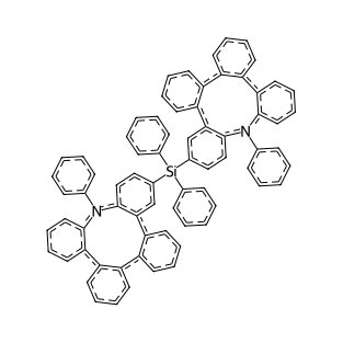 c1ccc(-n2c3ccccc3c3ccccc3c3ccccc3c3cc([Si](c4ccccc4)(c4ccccc4)c4ccc5c(c4)c4ccccc4c4ccccc4c4ccccc4n5-c4ccccc4)ccc32)cc1